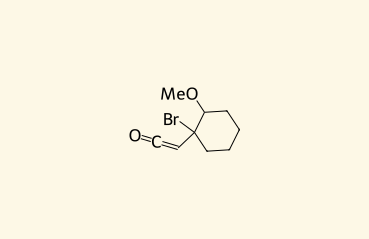 COC1CCCCC1(Br)C=C=O